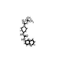 CC(C)(C)OC(=O)N1CCC(NC(=O)Nc2ccc3ncccc3c2)CC1